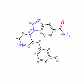 NC(=O)c1ccc2c(c1)ncn2N1CCNCC1Cc1cccc(Cl)c1